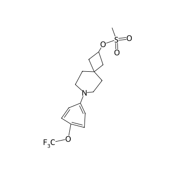 CS(=O)(=O)OC1CC2(CCN(c3ccc(OC(F)(F)F)cc3)CC2)C1